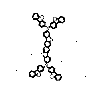 c1ccc2c(c1)oc1cc(N(c3ccc4c(c3)oc3ccccc34)c3ccc4c(c3)sc3cc5cc6c(cc5cc34)sc3cc(N(c4ccc5c(c4)oc4ccccc45)c4ccc5c(c4)oc4ccccc45)ccc36)ccc12